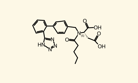 CCCCC(=O)N(Cc1ccc(-c2ccccc2-c2nnn[nH]2)cc1)[C@@H](CC(=O)O)C(=O)O